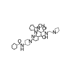 Cn1c2ccccc2n2c3nc(N4CCC(NC(=O)c5ccccc5)CC4)ccc3c(=O)c(C(=O)NCCN3CCCC3)c12